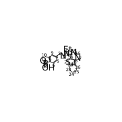 CCN(/N=C/c1ccc2c(c1)COB2O)c1ncnc2c3c(sc12)CCCC3